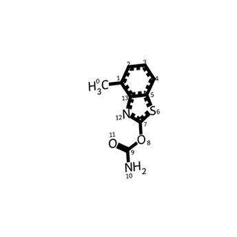 Cc1cccc2sc(OC(N)=O)nc12